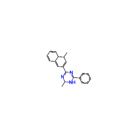 CC1N=C(C2=CC(C)C3C=CC=CC3=C2)N=C(c2ccccc2)N1